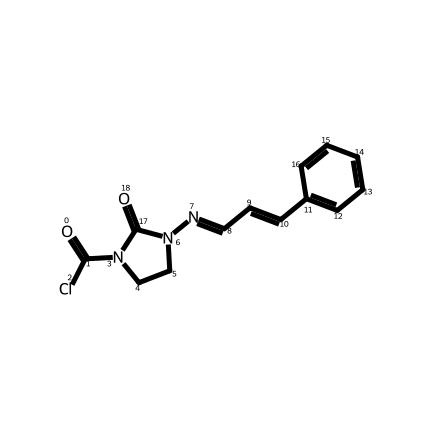 O=C(Cl)N1CCN(N=C/C=C/c2ccccc2)C1=O